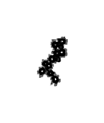 c1ccc(-c2ccc(N(c3ccccc3)c3ccc(-c4ccc5c(c4)oc4c6ccccc6c(-c6cccc7c6oc6ccccc67)cc54)c4ccccc34)cc2)cc1